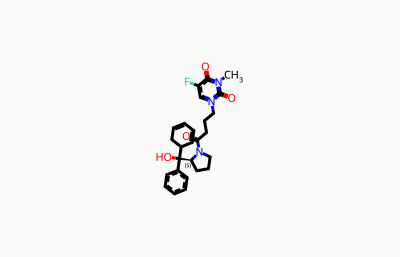 Cn1c(=O)c(F)cn(CCCC(=O)N2CCC[C@H]2C(O)(c2ccccc2)C2C=CC=CC2)c1=O